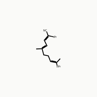 CCCC(C)=CCCC(C)=CC=C(C#N)C(C)C